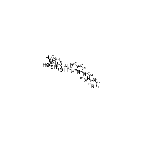 Cc1ccc(C(=O)NCc2cc3nc(N4CCN(c5cnccn5)CC4)ccc3cn2)cc1C(C)(C)O